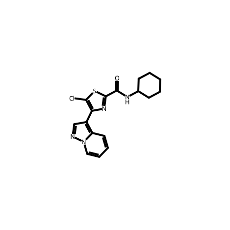 O=C(NC1CCCCC1)c1nc(-c2cnn3ccccc23)c(Cl)s1